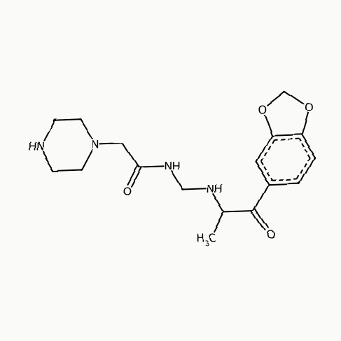 CC(NCNC(=O)CN1CCNCC1)C(=O)c1ccc2c(c1)OCO2